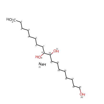 O=C(O)CCCCCCCC(O)C(O)CCCCCCCCO.[NaH]